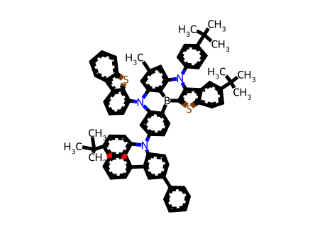 Cc1cc2c3c(c1)N(c1cccc4c1sc1ccccc14)c1cc(N(c4ccc(C(C)(C)C)cc4)c4ccc(-c5ccccc5)cc4-c4ccccc4)ccc1B3c1sc3ccc(C(C)(C)C)cc3c1N2c1ccc(C(C)(C)C)cc1